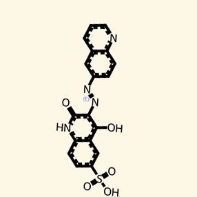 O=c1[nH]c2ccc(S(=O)(=O)O)cc2c(O)c1/N=N/c1ccc2ncccc2c1